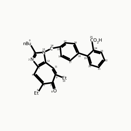 CCCCc1nc2cc(CC)c(=O)c(CC)cc2n1Cc1ccc(-c2ccccc2C(=O)O)cc1